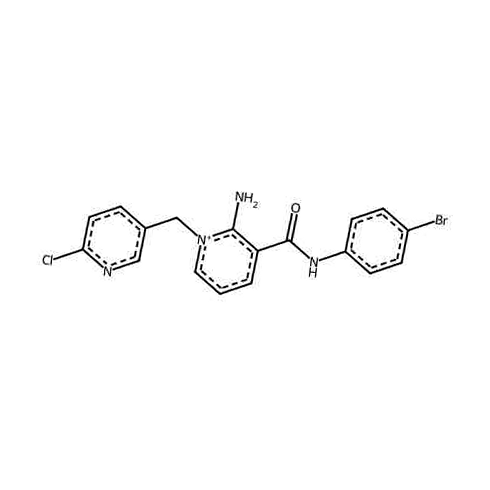 Nc1c(C(=O)Nc2ccc(Br)cc2)ccc[n+]1Cc1ccc(Cl)nc1